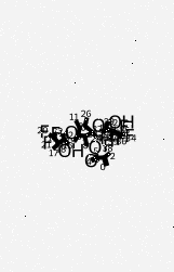 C=C(C)C(=O)OCC(C(C)(CC)OC(C)(C)C(C)(O)C(F)(F)F)C(C)(CC)OC(C)(C)C(O)(C(F)(F)F)C(F)(F)F